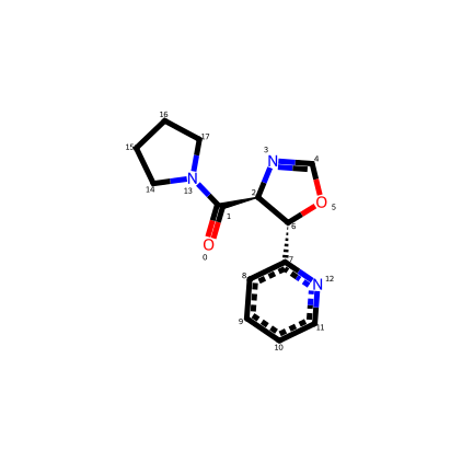 O=C([C@H]1N=CO[C@@H]1c1ccccn1)N1CCCC1